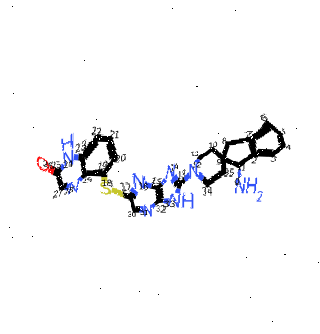 N[C@@H]1c2ccccc2CC12CCN(c1nc3nc(Sc4cccc5[nH]c(=O)cnc45)cnc3[nH]1)CC2